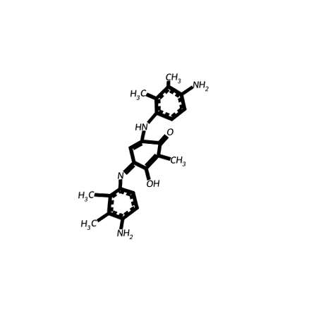 CC1=C(O)/C(=N\c2ccc(N)c(C)c2C)C=C(Nc2ccc(N)c(C)c2C)C1=O